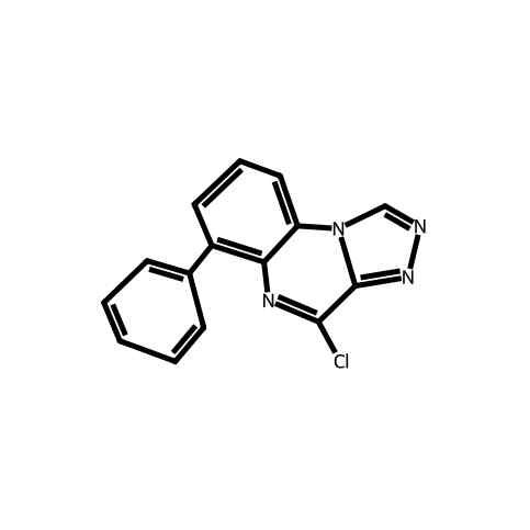 Clc1nc2c(-c3ccccc3)cccc2n2cnnc12